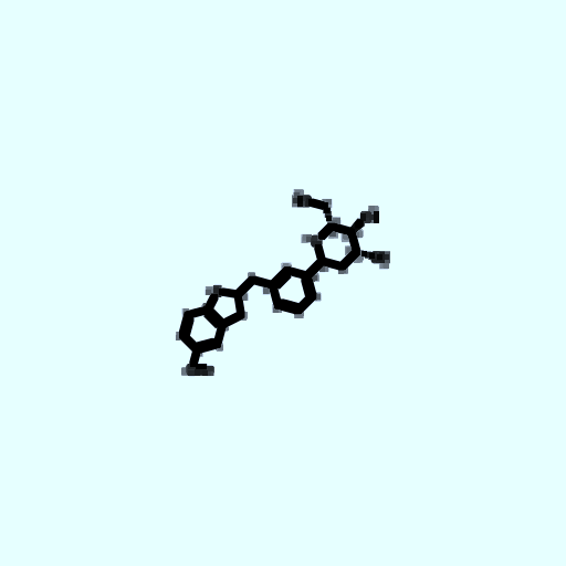 COc1ccc2c(c1)CC(Cc1cccc(C3C[C@@H](O)[C@H](O)[C@@H](CO)O3)c1)S2